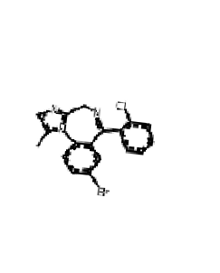 Cc1cnc2n1-c1ccc(Br)cc1C(c1ccccc1Cl)=NC2